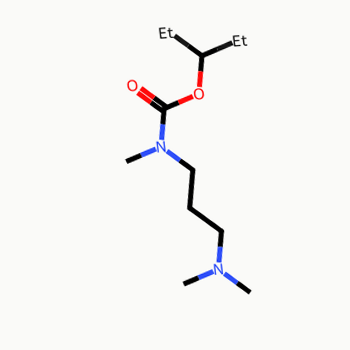 CCC(CC)OC(=O)N(C)CCCN(C)C